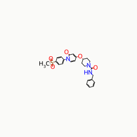 CS(=O)(=O)c1ccc(-n2ccc(OC3CCN(C(=O)NCc4ccccc4)CC3)cc2=O)cc1